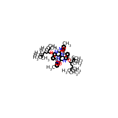 Cc1ccc2oc(/C(C#N)=c3/c4c(-c5ccc(OCC(CCC(C)CC(C)(C)C)C(C)CC(C)(C)C)cc5)n(B(c5ccccc5)c5ccccc5)/c(=C(/C#N)c5nc6cc(C)ccc6o5)c4c(-c4ccc(OCC(CCC(C)CC(C)(C)C)C(C)CC(C)(C)C)cc4)n3B(c3ccccc3)c3ccccc3)nc2c1